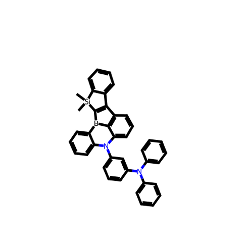 C[Si]1(C)C2=C(c3ccccc31)c1cccc3c1B2c1ccccc1N3c1cccc(N(c2ccccc2)c2ccccc2)c1